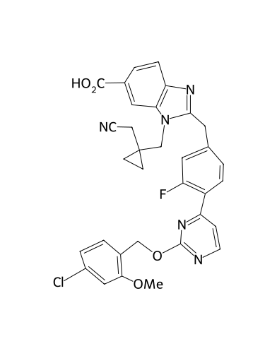 COc1cc(Cl)ccc1COc1nccc(-c2ccc(Cc3nc4ccc(C(=O)O)cc4n3CC3(CC#N)CC3)cc2F)n1